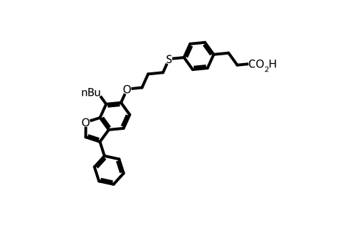 CCCCc1c(OCCCSc2ccc(CCC(=O)O)cc2)ccc2c(-c3ccccc3)coc12